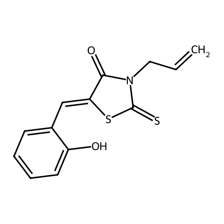 C=CCN1C(=O)C(=Cc2ccccc2O)SC1=S